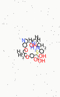 C=C[C@H]1C[N@]2CC[C@H]1C[C@H]2[C@H](O)c1ccnc2ccc(OC)cc12.COc1ccc(C(Sc2ccccc2N)C(O)C(=O)O)cc1